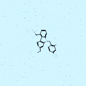 CCc1c[c]c2c3c(C(N)=O)cccc3n(Cc3ccc(Cl)cc3Cl)c2c1